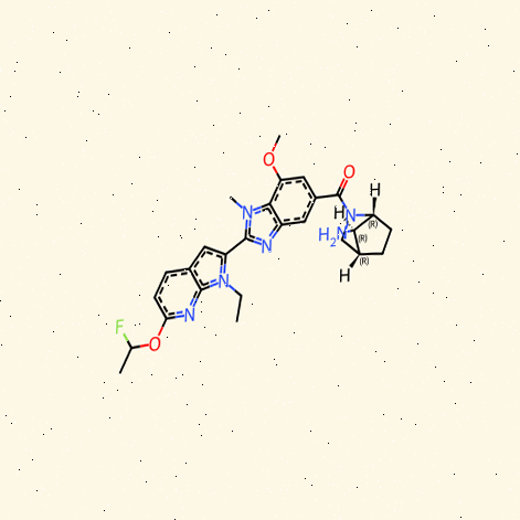 CCn1c(-c2nc3cc(C(=O)N4C[C@H]5CC[C@@H]4[C@@H]5N)cc(OC)c3n2C)cc2ccc(OC(C)F)nc21